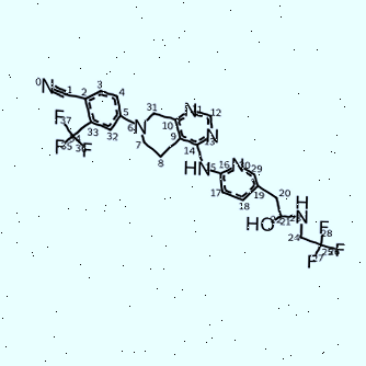 N#Cc1ccc(N2CCc3c(ncnc3Nc3ccc(CC(O)NCC(F)(F)F)cn3)C2)cc1C(F)(F)F